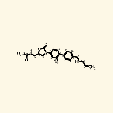 C=CCNCc1ccc(-c2ccc(N3CC(CNC(C)=O)OC3=O)cc2F)cc1